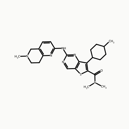 CC1CCC(c2c(C(=O)N(C)C)sc3cnc(Nc4ccc5c(n4)CCN(C)C5)nc23)CC1